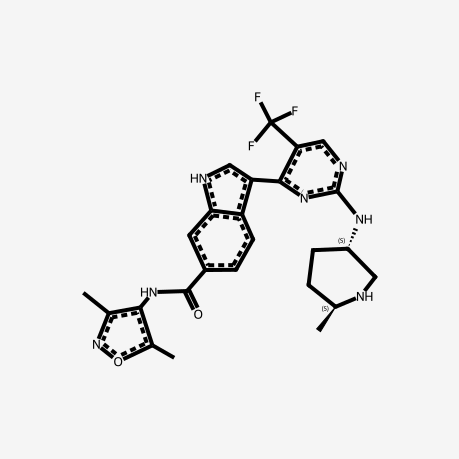 Cc1noc(C)c1NC(=O)c1ccc2c(-c3nc(N[C@H]4CC[C@H](C)NC4)ncc3C(F)(F)F)c[nH]c2c1